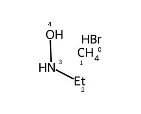 Br.C.CCNO